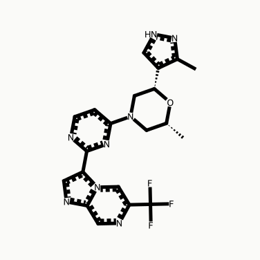 Cc1n[nH]cc1[C@H]1CN(c2ccnc(-c3cnc4cnc(C(F)(F)F)cn34)n2)C[C@@H](C)O1